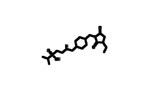 CCC1CC(=O)N(CC2CCC(CNCCP(=O)(O)C(C)C)CC2)C1=O